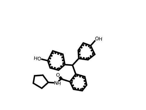 O=C(NC1CCCC1)c1ccccc1C(c1ccc(O)cc1)c1ccc(O)cc1